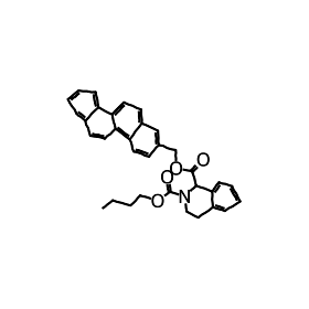 CCCCOC(=O)N1CCc2ccccc2C1C(=O)OCc1ccc2c(ccc3c4ccccc4ccc23)c1